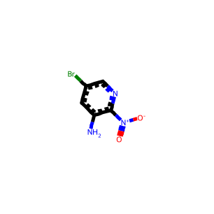 Nc1cc(Br)cnc1[N+](=O)[O-]